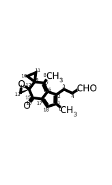 CC1=C(CCC=O)C2=C(C)C3(CC3)[C@]3(CO3)C(=O)C2=C1